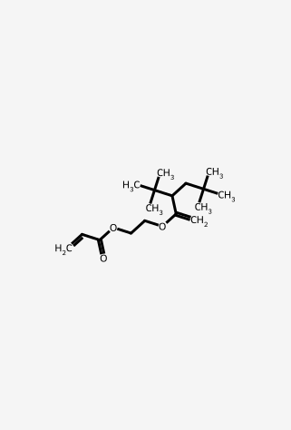 C=CC(=O)OCCOC(=C)C(CC(C)(C)C)C(C)(C)C